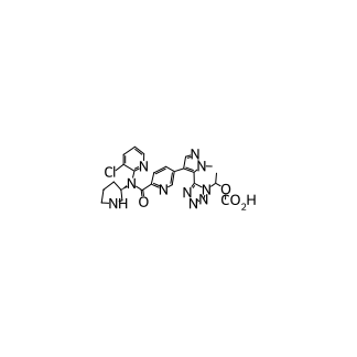 CC(OC(=O)O)n1nnnc1-c1c(-c2ccc(C(=O)N(c3ncccc3Cl)[C@@H]3CCCNC3)nc2)cnn1C